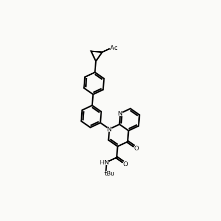 CC(=O)C1CC1c1ccc(-c2cccc(-n3cc(C(=O)NC(C)(C)C)c(=O)c4cccnc43)c2)cc1